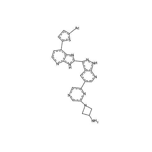 CC(=O)c1ccc(-c2ccnc3[nH]c(-c4n[nH]c5ncc(-c6cncc(N7CC(N)C7)n6)cc45)nc23)s1